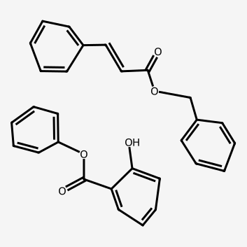 O=C(/C=C/c1ccccc1)OCc1ccccc1.O=C(Oc1ccccc1)c1ccccc1O